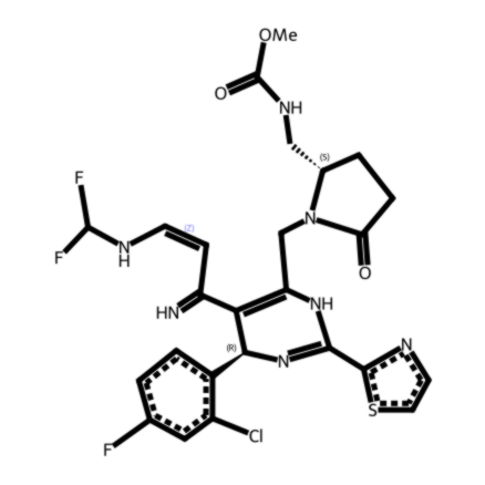 COC(=O)NC[C@@H]1CCC(=O)N1CC1=C(C(=N)/C=C\NC(F)F)[C@H](c2ccc(F)cc2Cl)N=C(c2nccs2)N1